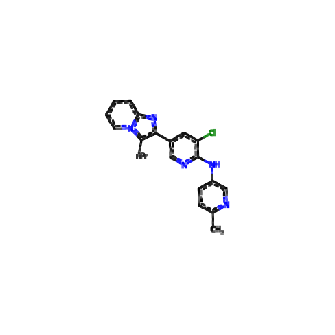 CCCc1c(-c2cnc(Nc3ccc(C)nc3)c(Cl)c2)nc2ccccn12